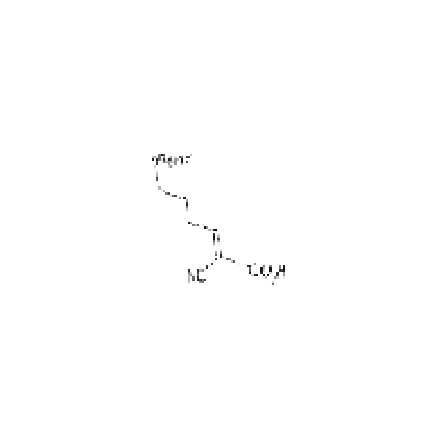 CCCCCCCC/C=C(\C#N)C(=O)O